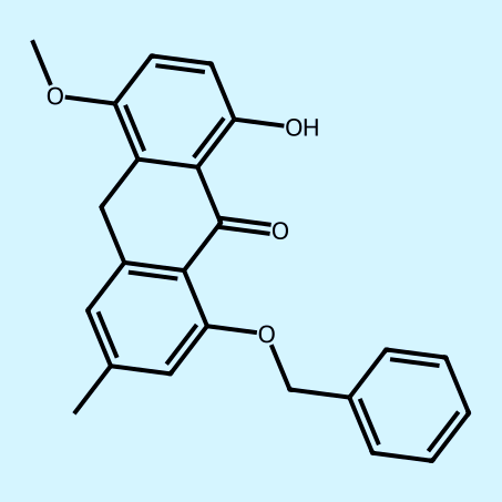 COc1ccc(O)c2c1Cc1cc(C)cc(OCc3ccccc3)c1C2=O